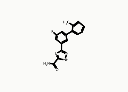 Cc1ccccc1-c1cc(F)cc(-c2n[nH]c(C(N)=O)n2)c1